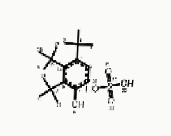 CC(C)(C)c1ccc(O)c(C(C)(C)C)c1C(C)(C)C.O=S(=O)(O)O